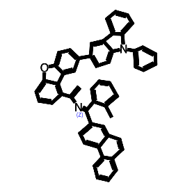 C=C(/N=C(/c1ccc2c(ccc3ccccc32)c1)c1ccccc1C)c1cccc2oc3ccc(-c4ccc5c(c4)c4ccccc4n5-c4ccccc4)cc3c12